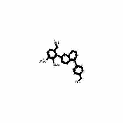 COc1ccc(CO)c(-c2ccc3c(-c4ccc(CC(C)C)cc4)cccc3c2)c1OC